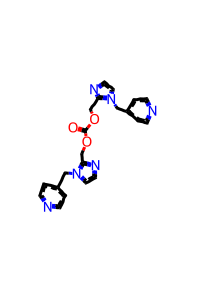 O=C(OCc1nccn1Cc1ccncc1)OCc1nccn1Cc1ccncc1